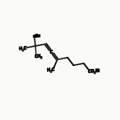 CCCCC(C)(C)C=C=C(C)CCCC(=O)OCC